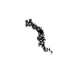 CCSC/C(F)=C(\F)c1cc(F)c(C2CCC(C(F)(F)OC3CCC(C4CCC(c5cc(F)c(F)c(F)c5)CC4)CC3)CC2)c(F)c1